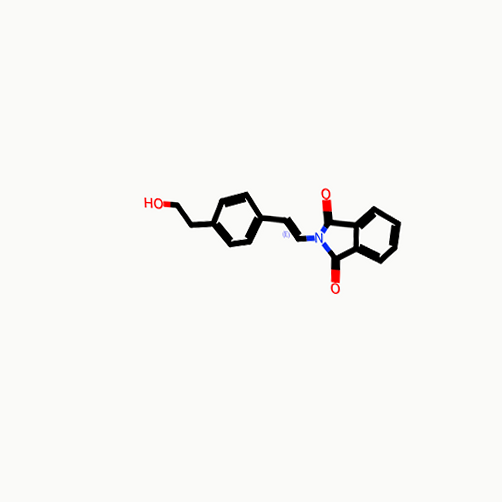 O=C1c2ccccc2C(=O)N1/C=C/c1ccc(CCO)cc1